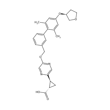 Cc1cc(O[C@H]2CCOC2)cc(C)c1-c1cccc(COc2cnc([C@H]3C[C@@H]3C(=O)O)cn2)c1